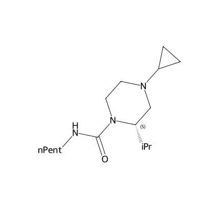 CCCCCNC(=O)N1CCN(C2CC2)C[C@@H]1C(C)C